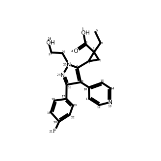 CCC1(C(=O)O)CC1c1c(-c2ccncc2)c(-c2ccc(F)cc2)nn1CCO